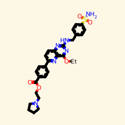 CCOc1nc(NCc2ccc(S(N)(=O)=O)cc2)nc2ccc(-c3ccc(C(=O)OCCN4CCCC4)cc3)nc12